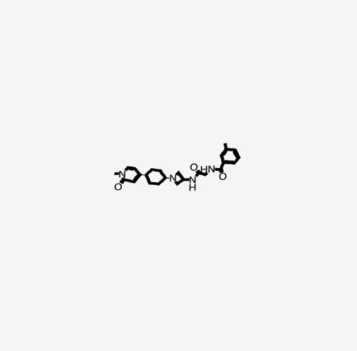 Cc1cccc(C(=O)NCC(=O)NC2CN([C@H]3CC[C@@H](c4ccn(C)c(=O)c4)CC3)C2)c1